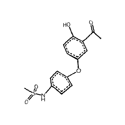 CC(=O)c1cc(Oc2ccc(NS(C)(=O)=O)cc2)ccc1O